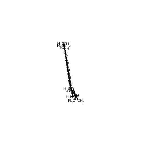 CCCN(OCC)C(=O)C1=Cc2ccc(S(=O)(=O)N(C)CCOCCOCCOCCOCCOCCOCCOCCOCCOCCOCCNC(=O)OC(C)(C)C)cc2N=C(N)C1